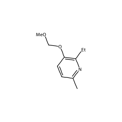 CCc1nc(C)ccc1OCOC